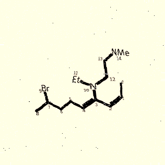 C/C=C\C(=CCCC(C)Br)N(CC)CCNC